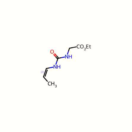 C/C=C\NC(=O)NCC(=O)OCC